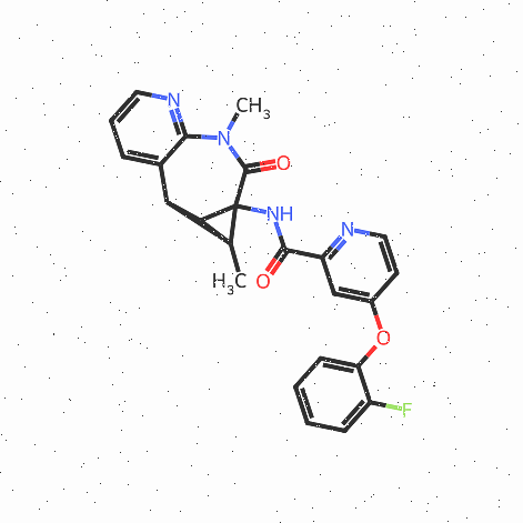 CN1C(=O)C2(NC(=O)c3cc(Oc4ccccc4F)ccn3)C3C(c4cccnc41)C32C